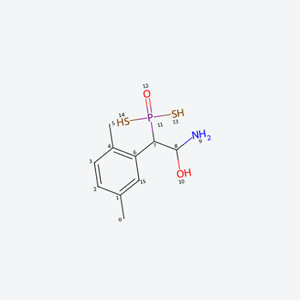 Cc1ccc(C)c(C(C(N)O)P(=O)(S)S)c1